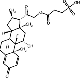 C[C@@H]1C[C@H]2[C@@H]3CCC4=CC(=O)C=C[C@]4(C)[C@@]3(F)[C@@H](O)C[C@]2(C)[C@H]1C(=O)COC(=O)CCS(=O)(=O)O